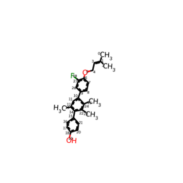 CC(C)=CCOc1ccc(-c2cc(C)c(-c3ccc(O)cc3)c(C)c2C)cc1F